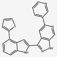 c1cncc(-c2cc3c(-c4cc5c(-c6cccs6)cccc5[nH]4)n[nH]c3cn2)c1